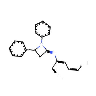 C=CC(=C\C=C/C)/N=C1\CC(c2ccccc2)N1c1ccccc1